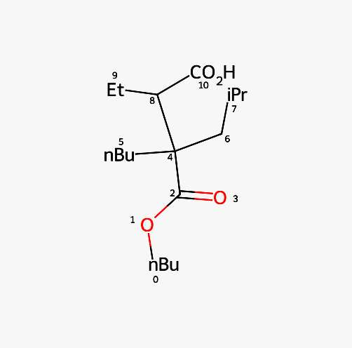 CCCCOC(=O)C(CCCC)(CC(C)C)C(CC)C(=O)O